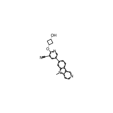 Cn1c2ccncc2c2ccc(-c3cnc(O[C@H]4C[C@@H](O)C4)c(C#N)c3)cc21